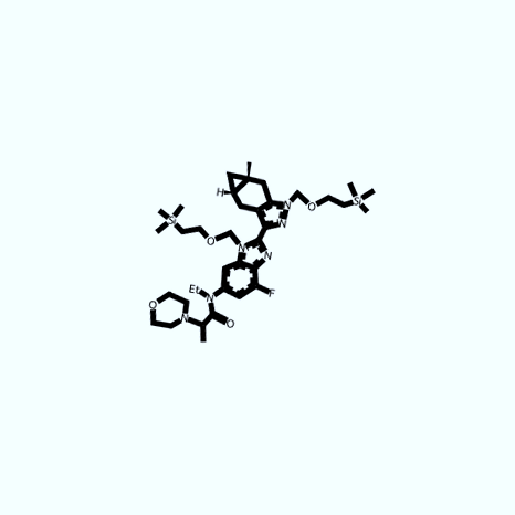 CCN(C(=O)C(C)N1CCOCC1)c1cc(F)c2nc(-c3nn(COCC[Si](C)(C)C)c4c3C[C@@H]3C[C@]3(C)C4)n(COCC[Si](C)(C)C)c2c1